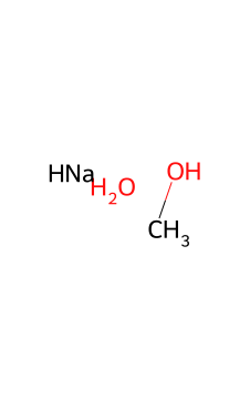 CO.O.[NaH]